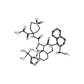 CC(C)(O)c1cnnn1[C@H]1C[C@@H](C(=O)NC2(C(=O)C(N)=O)CCS(=O)(=O)CC2)N(C(=O)[C@H](CC2CCCCC2)c2c(C(N)=O)ccc3ccccc23)C1